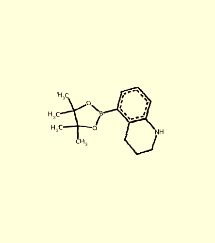 CC1(C)OB(c2cccc3c2CCCN3)OC1(C)C